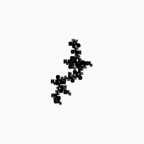 CCC(=O)NCCCCC(NC(=O)CC)C(=O)NC(CCCCNC(=O)CCN1C(=O)CC(SCC(CC(C)=O)C(=O)NC(CCCCNC(=O)CCN2C(=O)C=CC2=O)C(=O)NC(CSC)C(N)=O)C1=O)C(N)=O